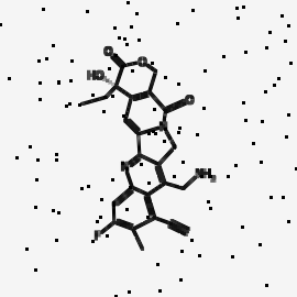 C#Cc1c(C)c(F)cc2nc3c(c(CN)c12)Cn1c-3cc2c(c1=O)COC(=O)[C@]2(O)CC